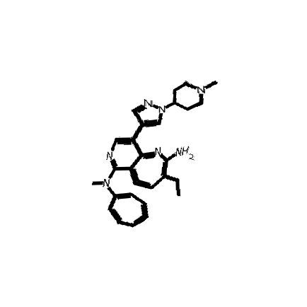 CCC1=C(N)N=c2c(-c3cnn(C4CCN(C)CC4)c3)cnc(N(C)C3=CC=C=CC=C3)c2=C=C1